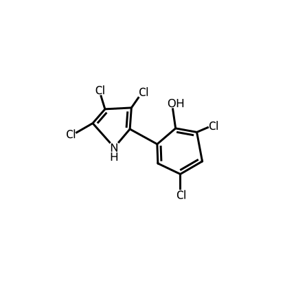 Oc1c(Cl)cc(Cl)cc1-c1[nH]c(Cl)c(Cl)c1Cl